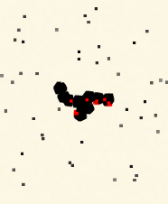 c1ccc(-c2ccc(-c3cccc(N(c4ccc(-c5ccc6ccc(-c7ccccc7)cc6c5)cc4)c4cccc5c4sc4ccccc45)c3)cc2)cc1